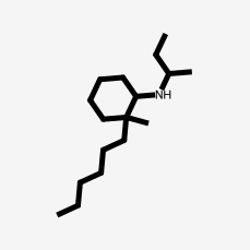 CCCCCCC1(C)CCCCC1NC(C)CC